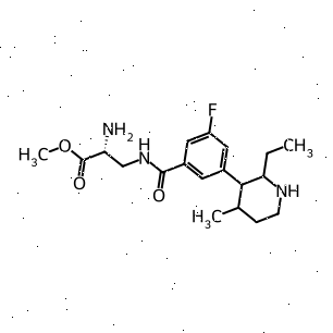 CCC1NCCC(C)C1c1cc(F)cc(C(=O)NC[C@@H](N)C(=O)OC)c1